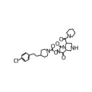 O=C(ON1C(=O)C2CNCC(C(=O)N3CCCCC3)N2C1=O)N1CCC(CCc2ccc(Cl)cc2)CC1